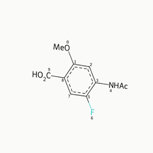 COc1cc(NC(C)=O)c(F)cc1C(=O)O